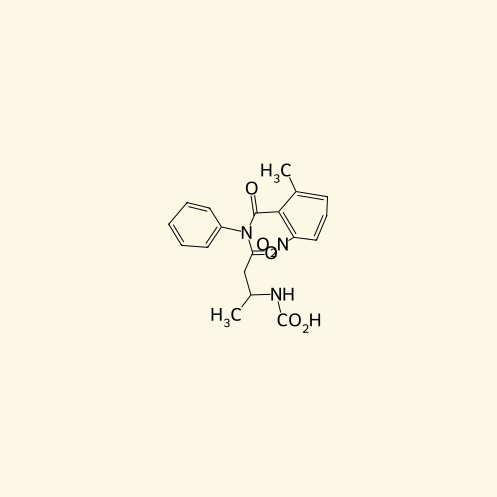 Cc1cccc([N+](=O)[O-])c1C(=O)N(C(=O)CC(C)NC(=O)O)c1ccccc1